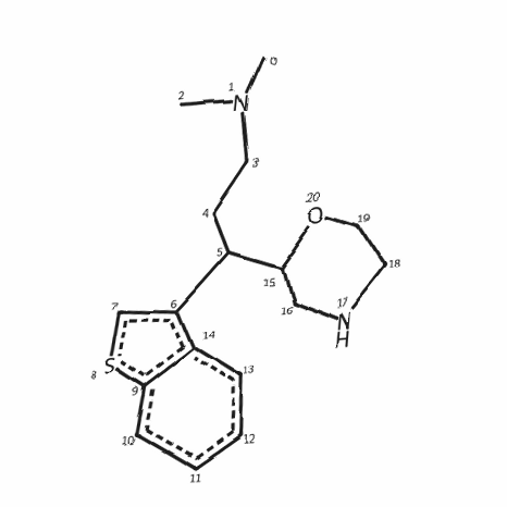 CN(C)CCC(c1csc2ccccc12)C1CNCCO1